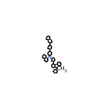 CC1(c2ccccc2)c2ccccc2-c2c(-c3cccc(N(c4ccc(-c5ccc(-c6ccc7ccccc7c6)cc5)cc4)c4cccc5ccccc45)c3)cccc21